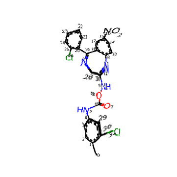 Cc1ccc(NC(=O)ONC2=Nc3ccc([N+](=O)[O-])cc3C(c3ccccc3Cl)=NC2)cc1Cl